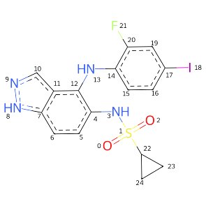 O=S(=O)(Nc1ccc2[nH]ncc2c1Nc1ccc(I)cc1F)C1CC1